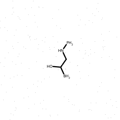 BC(O)CNP